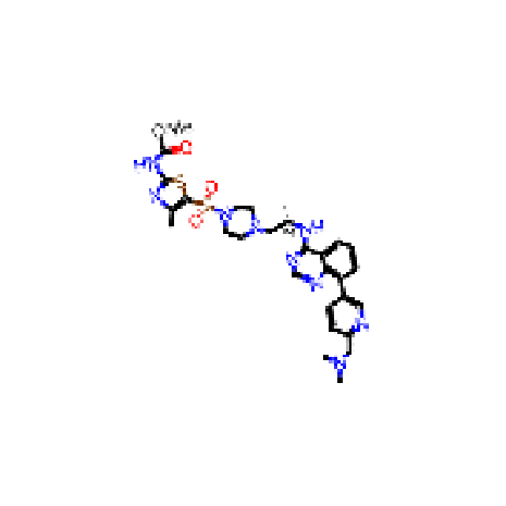 COC(=O)Nc1nc(C)c(S(=O)(=O)N2CCN(C[C@H](C)Nc3ncnc4c(-c5ccc(CN(C)C)nc5)cccc34)CC2)s1